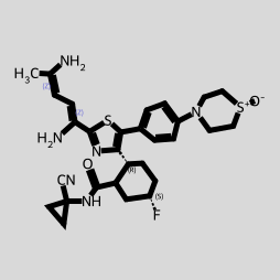 C/C(N)=C/C=C(\N)c1nc([C@@H]2CC[C@H](F)CC2C(=O)NC2(C#N)CC2)c(-c2ccc(N3CC[S+]([O-])CC3)cc2)s1